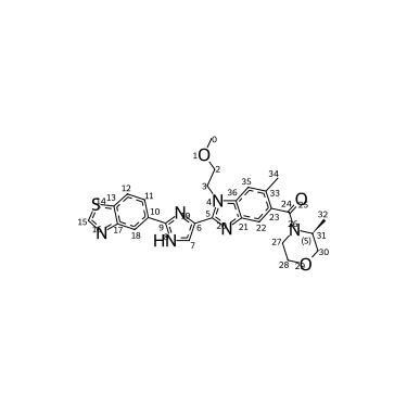 COCCn1c(-c2c[nH]c(-c3ccc4scnc4c3)n2)nc2cc(C(=O)N3CCOC[C@@H]3C)c(C)cc21